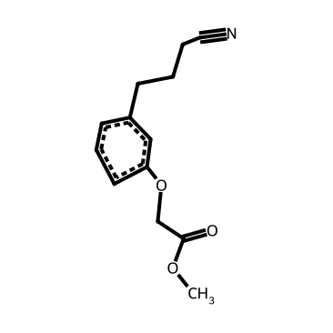 COC(=O)COc1cccc(CCCC#N)c1